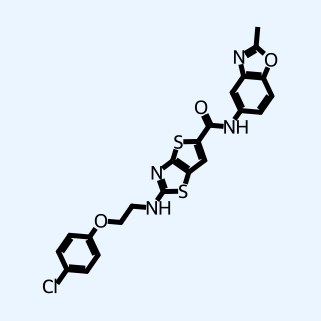 Cc1nc2cc(NC(=O)c3cc4sc(NCCOc5ccc(Cl)cc5)nc4s3)ccc2o1